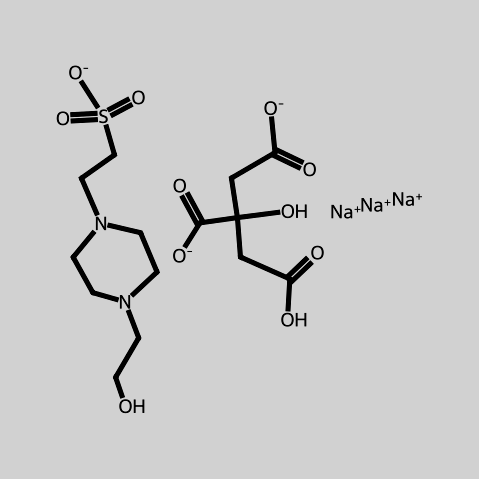 O=C([O-])CC(O)(CC(=O)O)C(=O)[O-].O=S(=O)([O-])CCN1CCN(CCO)CC1.[Na+].[Na+].[Na+]